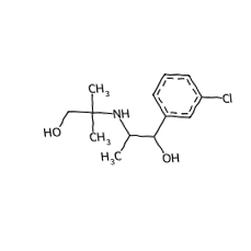 CC(NC(C)(C)CO)C(O)c1cccc(Cl)c1